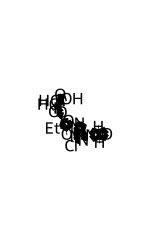 CCC1[C@@H](O)[C@H](n2ncc3c(N4C[C@H]5COC[C@H]5C4)nc(Cl)nc32)O[C@@H]1COP(=O)(O)CP(=O)(O)O